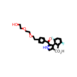 Cc1c(F)ccc(F)c1-c1c(C(=O)O)c[nH]c1C(=O)c1ccc(CCOCCOCCO)cc1